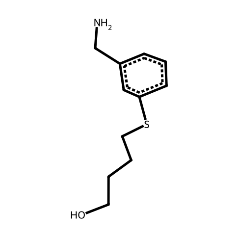 NCc1cccc(SCCCCO)c1